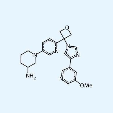 COc1cncc(-c2cn(C3(c4ccc(N5CCCC(N)C5)cn4)COC3)cn2)c1